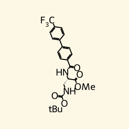 COC(=O)[C@H](CNC(=O)OC(C)(C)C)NC(=O)c1ccc(-c2ccc(C(F)(F)F)cc2)cc1